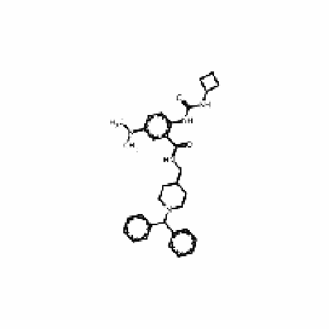 CN(C)c1ccc(NC(=O)NC2CCC2)c(C(=O)NCC2CCN(C(c3ccccc3)c3ccccc3)CC2)c1